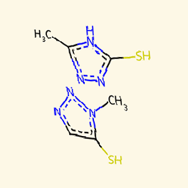 Cc1nnc(S)[nH]1.Cn1nncc1S